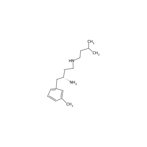 Cc1cccc(C[C@@H](N)[CH]CNCCC(C)C)c1